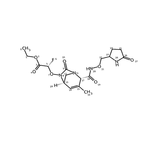 CCOC(=O)[C@H](F)ON1C(=O)N2C[C@H]1C=C(C)[C@H]2C(=O)NOCC1CCC(=O)N1